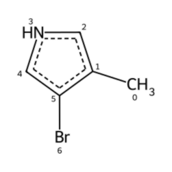 Cc1c[nH]cc1Br